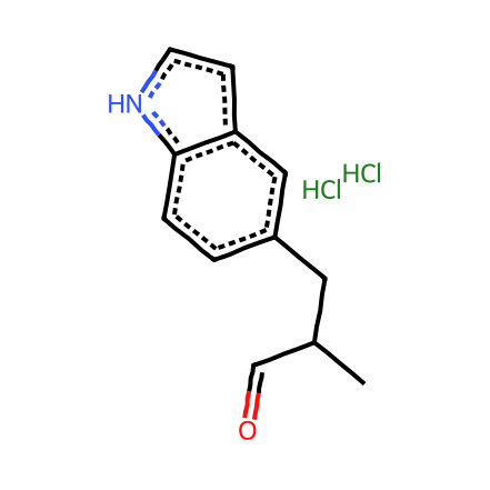 CC(C=O)Cc1ccc2[nH]ccc2c1.Cl.Cl